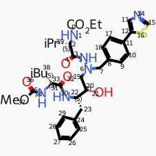 CCOC(=O)N[C@H](C(=O)NN(Cc1ccc(-c2cncs2)cc1)C[C@H](O)[C@H](Cc1ccccc1)NC(=O)[C@@H](NC(=O)OC)[C@@H](C)CC)C(C)C